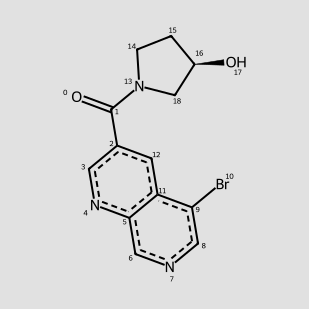 O=C(c1cnc2cncc(Br)c2c1)N1CC[C@@H](O)C1